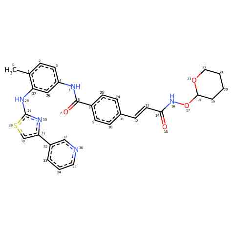 Cc1ccc(NC(=O)c2ccc(/C=C/C(=O)NOC3CCCCO3)cc2)cc1Nc1nc(-c2cccnc2)cs1